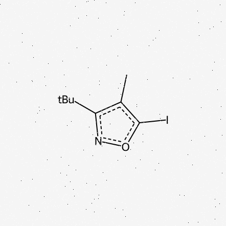 Cc1c(C(C)(C)C)noc1I